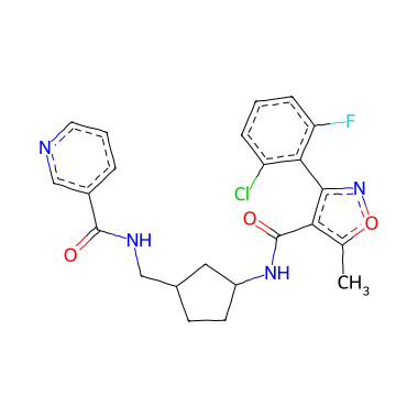 Cc1onc(-c2c(F)cccc2Cl)c1C(=O)NC1CCC(CNC(=O)c2cccnc2)C1